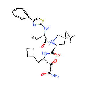 CC(C)(C)[C@H](Nc1nc(-c2ccccc2)cs1)C(=O)N1C[C@]2(C[C@H]1C(=O)NC(CC1CCC1)C(=O)C(N)=O)CC2(C)C